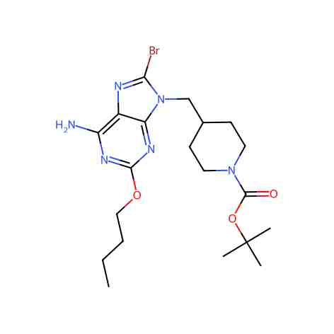 CCCCOc1nc(N)c2nc(Br)n(CC3CCN(C(=O)OC(C)(C)C)CC3)c2n1